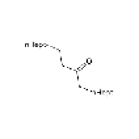 [CH2]CCCCCCCCC(=O)CCCCCCCC